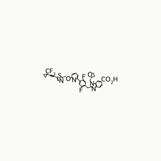 O=C(O)c1ccc2nc(Cc3cc(F)c(-c4cccc(OCc5ncc(C#CC6(C(F)(F)F)CC6)s5)n4)cc3F)n(C[C@@H]3CCO3)c2c1